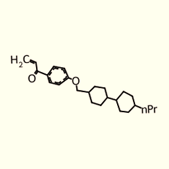 C=CC(=O)c1ccc(OCC2CCC(C3CCC(CCC)CC3)CC2)cc1